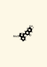 COc1ccc(C2CC(=O)c3ccc(C)nc3C2)c2c1CCCC2